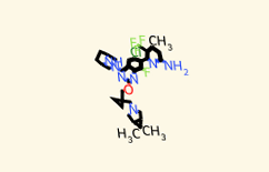 Cc1cc(N)nc(-c2c(Cl)cc3c(N4CC5CCC(C4)N5)nc(OCC4(CN5CC6C(C5)C6(C)C)CC4)nc3c2F)c1C(F)(F)F